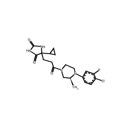 C[C@H]1CN(C(=O)CCC2(C3CC3)NC(=O)NC2=O)CCN1c1ccc(Cl)c(F)c1